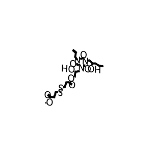 C=CCn1c(=O)n(CC(O)CCC)c(=O)n(CC(O)COC(=O)CCSSCCC(=O)OC)c1=O